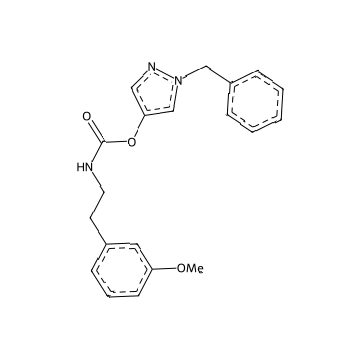 COc1cccc(CCNC(=O)Oc2cnn(Cc3ccccc3)c2)c1